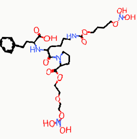 O=C(NCCCCC(NC(CCc1ccccc1)C(=O)O)C(=O)N1CCCC1C(=O)OCCOCCON(O)O)OCCCCON(O)O